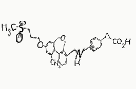 Cc1cc(OCCCS(C)(=O)=O)cc2c1-c1cccc(CNc3ccc(C4CC4C(=O)O)cc3)c1COC2